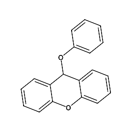 c1ccc(OC2c3ccccc3Oc3ccccc32)cc1